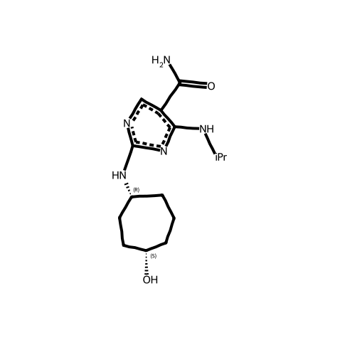 CC(C)Nc1nc(N[C@@H]2CCC[C@H](O)CC2)ncc1C(N)=O